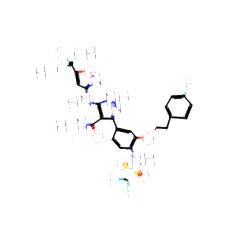 CC(C)(F)c1cc(Nc2[nH]nc(-c3ccc(NS(=O)(=O)C(F)F)c(OCCc4ccc(F)cc4)c3)c2C(N)=O)no1